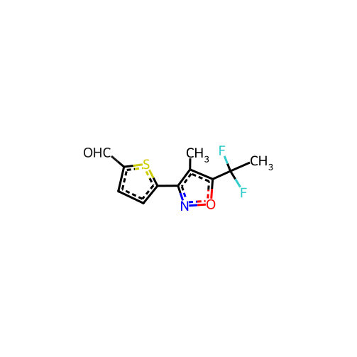 Cc1c(-c2ccc(C=O)s2)noc1C(C)(F)F